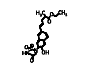 CCOC(=O)C(C)CC=Cc1ccc2cc(O)c(N3CC(=O)NS3(=O)=O)cc2c1